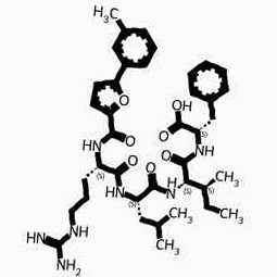 CC[C@H](C)[C@H](NC(=O)[C@H](CC(C)C)NC(=O)[C@H](CCCNC(=N)N)NC(=O)c1ccc(-c2cccc(C)c2)o1)C(=O)N[C@@H](Cc1ccccc1)C(=O)O